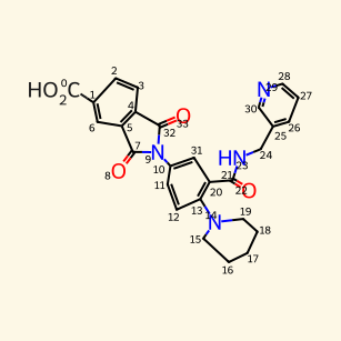 O=C(O)c1ccc2c(c1)C(=O)N(c1ccc(N3CCCCC3)c(C(=O)NCc3cccnc3)c1)C2=O